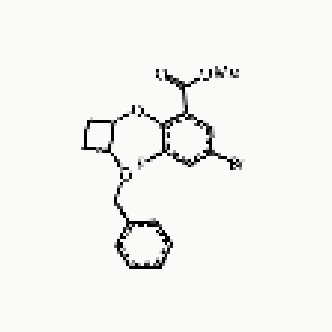 COC(=O)c1cc(Br)cc(F)c1O[C@@H]1CC[C@@H]1OCc1ccccc1